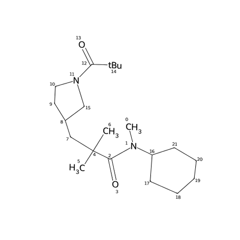 CN(C(=O)C(C)(C)CC1CCN(C(=O)C(C)(C)C)C1)C1CCCCC1